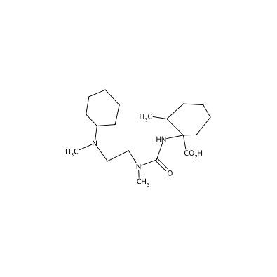 CC1CCCCC1(NC(=O)N(C)CCN(C)C1CCCCC1)C(=O)O